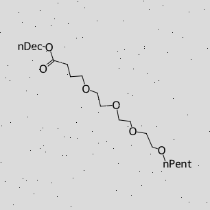 CCCCCCCCCCOC(=O)CCCOCCOCCOCCOCCCCC